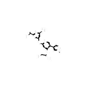 C[C@@H](CF)Oc1cc(Nc2cc(N)nc(C(F)F)n2)ncc1-c1cnn(C)c1